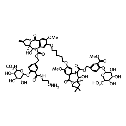 C=C1C[C@H]2C(O)N(C(=O)OCc3ccc(O[C@@H]4O[C@H](C(=O)O)[C@@H](O)[C@H](O)[C@H]4O)c(C(=O)NCCON)c3)c3cc(OCCCCCOc4cc5c(cc4OC)C(=O)N4CC(C)(C)C[C@H]4C(O)N5C(=O)OCc4ccc(O[C@@H]5O[C@H](C(=O)O)[C@@H](O)[C@H](O)[C@H]5O)c(C(=O)OC)c4)c(OC)cc3C(=O)N2C1